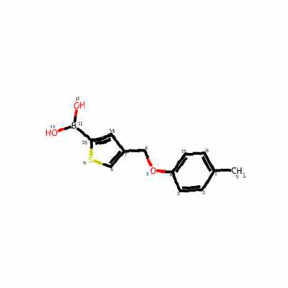 Cc1ccc(OCc2csc(B(O)O)c2)cc1